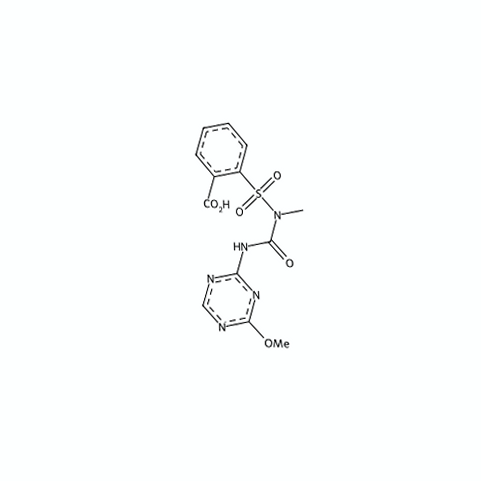 COc1ncnc(NC(=O)N(C)S(=O)(=O)c2ccccc2C(=O)O)n1